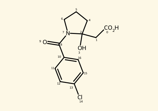 O=C(O)CC1(O)CCCN1C(=O)c1ccc(Cl)cc1